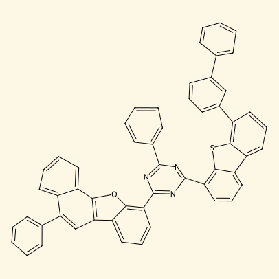 c1ccc(-c2cccc(-c3cccc4c3sc3c(-c5nc(-c6ccccc6)nc(-c6cccc7c6oc6c8ccccc8c(-c8ccccc8)cc76)n5)cccc34)c2)cc1